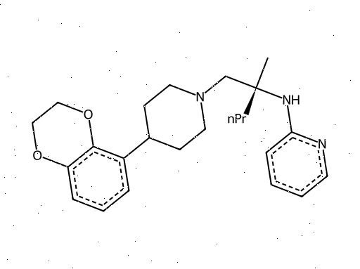 CCC[C@](C)(CN1CCC(c2cccc3c2OCCO3)CC1)Nc1ccccn1